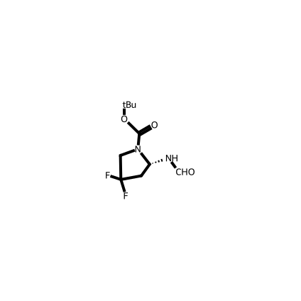 CC(C)(C)OC(=O)N1CC(F)(F)C[C@H]1NC=O